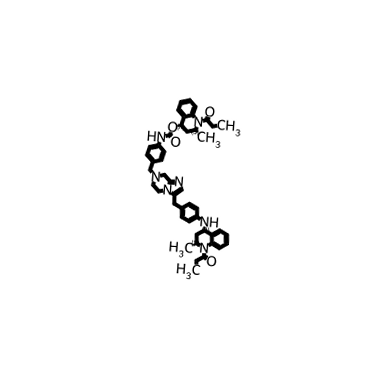 CCC(=O)N1c2ccccc2[C@H](Nc2ccc(Cc3cnc4n3CCN(Cc3ccc(NC(=O)O[C@@H]5C[C@H](C)N(C(=O)CC)c6ccccc65)cc3)C4)cc2)C[C@@H]1C